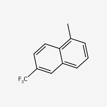 Cc1cccc2cc(C(F)(F)F)ccc12